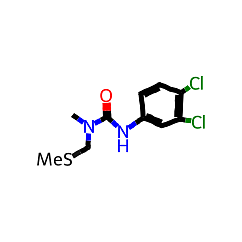 CSCN(C)C(=O)Nc1ccc(Cl)c(Cl)c1